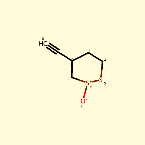 C#CC1CCS[S+]([O-])C1